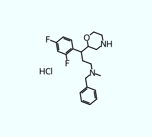 CN(CCC(c1ccc(F)cc1F)C1CNCCO1)Cc1ccccc1.Cl